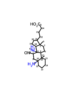 CC12CCC3C(N)(C(N=O)CC4(N)CCCCC34C)C1CCC2CCCC(=O)O